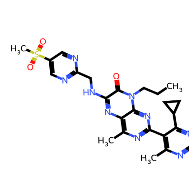 CCCn1c(=O)c(NCc2ncc(S(C)(=O)=O)cn2)nc2c(C)nc(-c3c(C)ncnc3C3CC3)nc21